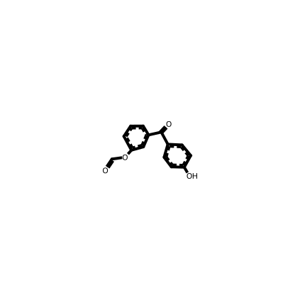 O=COc1cccc(C(=O)c2ccc(O)cc2)c1